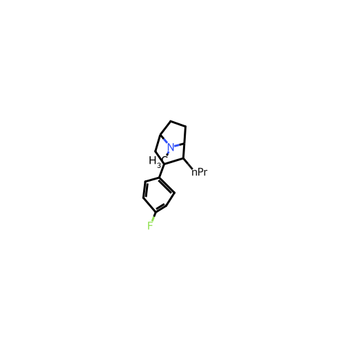 CCCC1C(c2ccc(F)cc2)CC2CCC1N2C